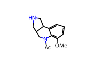 COc1cccc2c1N(C(C)=O)CC1CNCC21